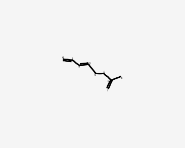 C=CC=CCCC(=C)C